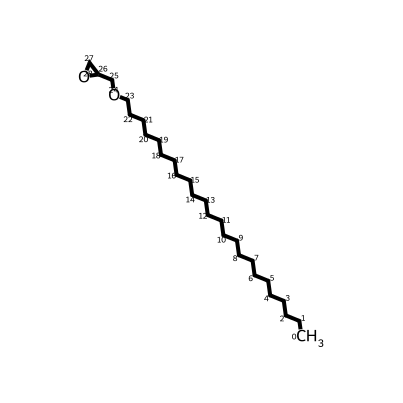 CCCCCCCCCCCCCCCCCCCCCCCCOCC1CO1